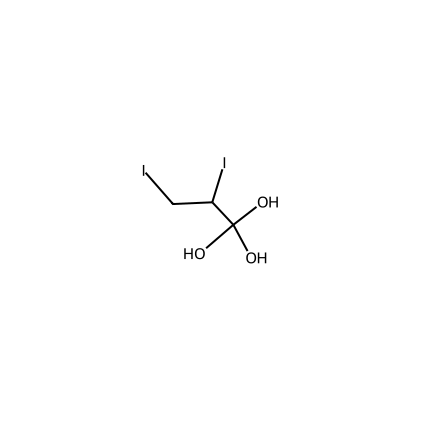 OC(O)(O)C(I)CI